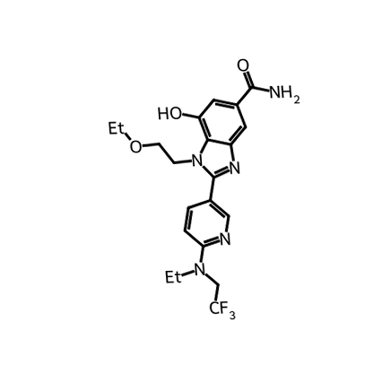 CCOCCn1c(-c2ccc(N(CC)CC(F)(F)F)nc2)nc2cc(C(N)=O)cc(O)c21